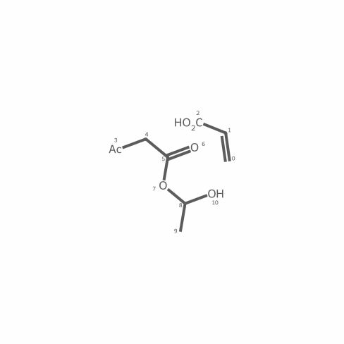 C=CC(=O)O.CC(=O)CC(=O)OC(C)O